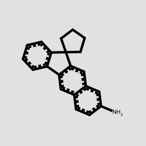 Nc1ccc2cc3c(cc2c1)C1(CCCC1)c1ccccc1-3